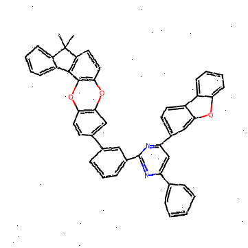 CC1(C)c2ccccc2-c2c1ccc1c2Oc2ccc(-c3cccc(-c4nc(-c5ccccc5)cc(-c5ccc6c(c5)oc5ccccc56)n4)c3)cc2O1